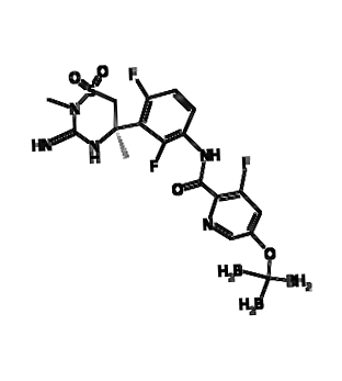 BC(B)(B)Oc1cnc(C(=O)Nc2ccc(F)c([C@]3(C)CS(=O)(=O)N(C)C(=N)N3)c2F)c(F)c1